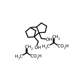 C=C(C)C(=O)O.C=C(C)C(=O)O.OCC12CCC(C1)C1CCCC12CO